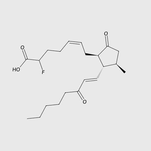 CCCCCC(=O)/C=C/[C@H]1[C@H](C)CC(=O)[C@@H]1C/C=C\CCC(F)C(=O)O